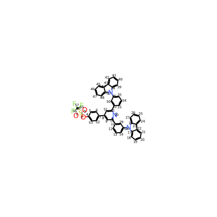 O=S(=O)(Oc1ccc(-c2cc(-c3cccc(-n4c5ccccc5c5ccccc54)c3)nc(-c3cccc(-n4c5ccccc5c5ccccc54)c3)c2)cc1)C(F)(F)F